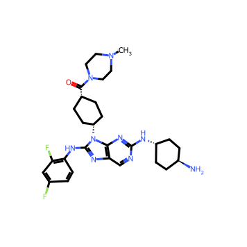 CN1CCN(C(=O)[C@H]2CC[C@@H](n3c(Nc4ccc(F)cc4F)nc4cnc(N[C@H]5CC[C@H](N)CC5)nc43)CC2)CC1